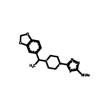 CC(=O)Nc1nnc(N2CCN(C(C)c3ccc4c(c3)OCO4)CC2)s1